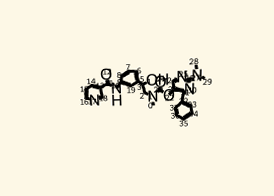 CN(CC(O)c1cccc(NC(=O)c2cccnc2)c1)C(=O)Oc1cnc(N(C)C)nc1-c1ccccc1